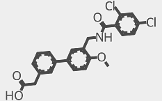 COc1ccc(-c2cccc(CC(=O)O)c2)cc1CNC(=O)c1ccc(Cl)cc1Cl